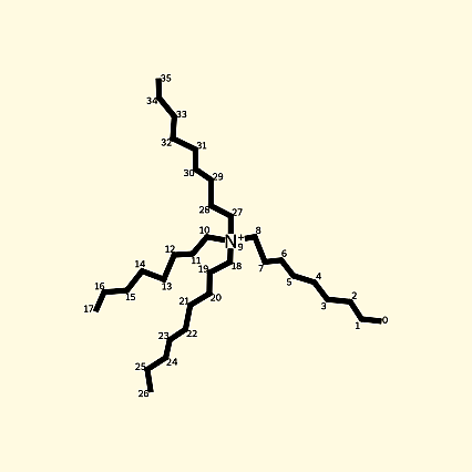 CCCCCCCCC[N+](CCCCCCCC)(CCCCCCCCC)CCCCCCCCC